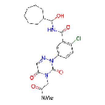 CNC(=O)Cn1c(=O)cnn(-c2ccc(Cl)c(C(=O)NC(O)C3CCCCCC3)c2)c1=O